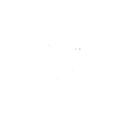 CCCCCC(N)OC(=O)O.[Ni]